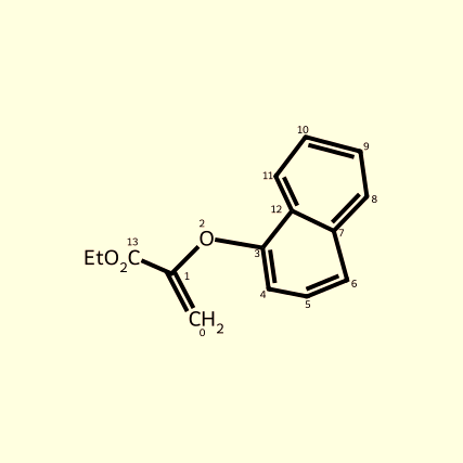 C=C(Oc1cccc2ccccc12)C(=O)OCC